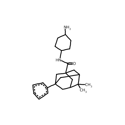 CC1(C)C2CC3(C(=O)NC4CCC(N)CC4)CC1CC(c1ccccc1)(C2)C3